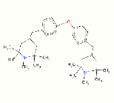 CN1C(C)(C)CC(Cc2ccc(Oc3ccc(CC4CC(C)(C)N(C)C(C)(C)C4)cc3)cc2)CC1(C)C